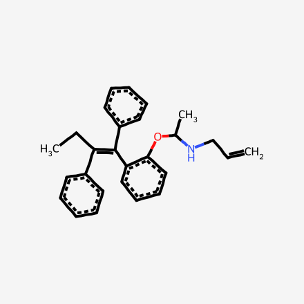 C=CCNC(C)Oc1ccccc1C(=C(CC)c1ccccc1)c1ccccc1